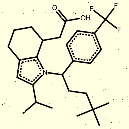 CC(C)c1cc2c(n1C(CCC(C)(C)C)c1ccc(C(F)(F)F)cc1)C(CC(=O)O)CCC2